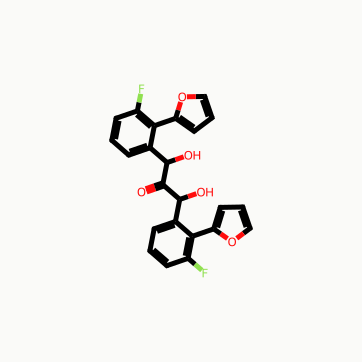 O=C(C(O)c1cccc(F)c1-c1ccco1)C(O)c1cccc(F)c1-c1ccco1